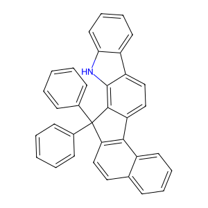 c1ccc(C2(c3ccccc3)c3ccc4ccccc4c3-c3ccc4c([nH]c5ccccc54)c32)cc1